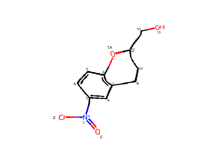 O=[N+]([O-])c1ccc2c(c1)CCC(CO)O2